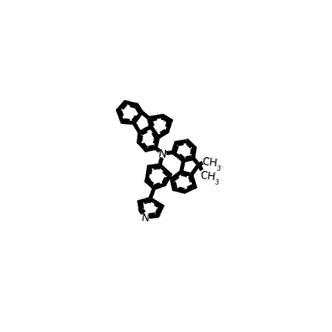 CC1(C)c2ccccc2-c2c(N(c3ccc(-c4ccncc4)cc3)c3ccc4c5c(cccc35)-c3ccccc3-4)cccc21